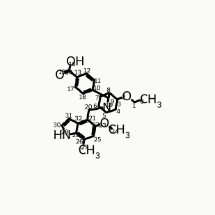 CCOC1CC2CCC1C(c1ccc(C(=O)O)cc1)N2Cc1c(OC)cc(C)c2[nH]ccc12